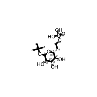 CC(C)(C)OC1O[C@H](CCOP(=O)(O)O)[C@@H](O)[C@H](O)[C@@H]1O